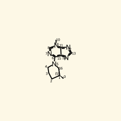 C[C@H]1CCCN(c2ncn(C)c3ncnc2-3)C1